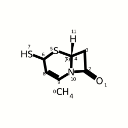 C.O=C1C[C@H]2SC(S)C=CN12